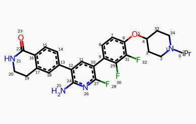 CC(C)N1CCC(Oc2ccc(-c3cc(-c4ccc5c(c4)CCNC5=O)c(N)nc3F)c(F)c2F)CC1